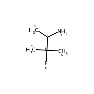 CC(N)C(C)(C)F